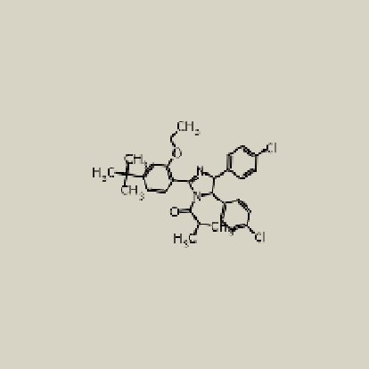 CCOc1cc(C(C)(C)C)ccc1C1=NC(c2ccc(Cl)cc2)C(c2ccc(Cl)cc2)N1C(=O)C(C)C